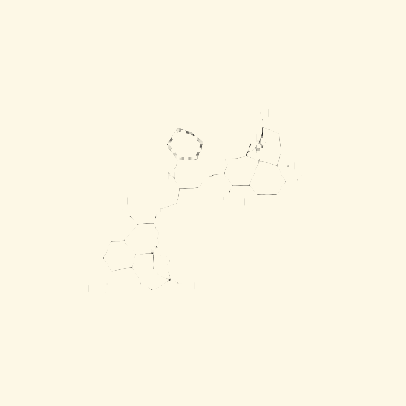 C[C@H]1[C@@H](OCC(CO[C@H]2O[C@@H]3O[C@@]4(C)CC[C@H]5[C@H](C)CC[C@@H]([C@H]2C)[C@@]35OO4)Nc2ccccc2)OC2O[C@@]3(C)CC[C@H]4[C@H](C)CC[C@@H]1[C@@]24OO3